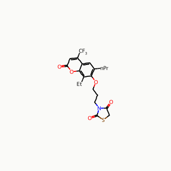 CCCc1cc2c(C(F)(F)F)cc(=O)oc2c(CC)c1OCCCN1C(=O)CSC1=O